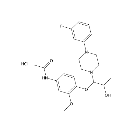 COc1cc(NC(C)=O)ccc1OC(C(C)O)N1CCN(c2cccc(F)c2)CC1.Cl